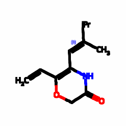 C=CC1=C(/C=C(\C)C(C)C)NC(=O)CO1